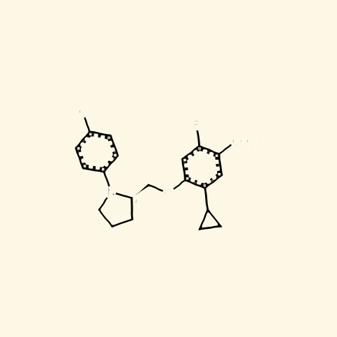 O=C(O)c1cc(C2CC2)c(OC[C@H]2CCCN2c2ccc(C(F)(F)F)cc2)cc1F